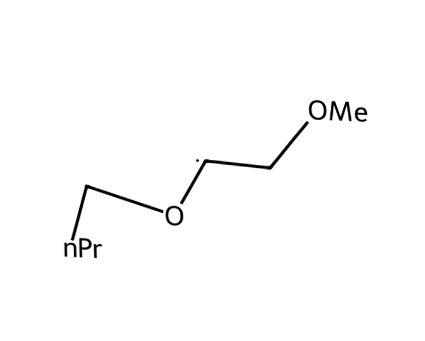 CCCCO[CH]COC